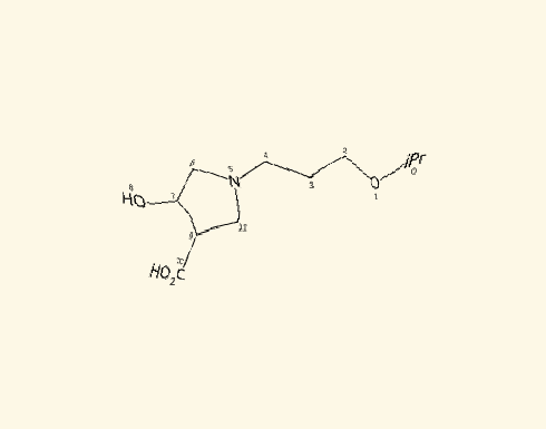 CC(C)OCCCN1CC(O)C(C(=O)O)C1